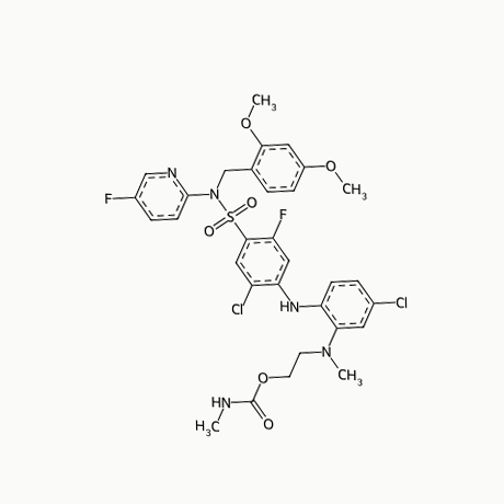 CNC(=O)OCCN(C)c1cc(Cl)ccc1Nc1cc(F)c(S(=O)(=O)N(Cc2ccc(OC)cc2OC)c2ccc(F)cn2)cc1Cl